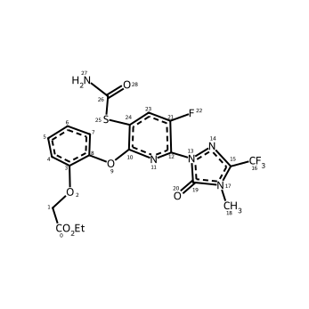 CCOC(=O)COc1ccccc1Oc1nc(-n2nc(C(F)(F)F)n(C)c2=O)c(F)cc1SC(N)=O